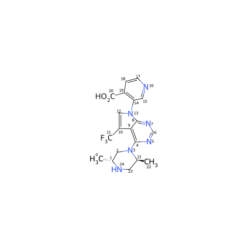 C[C@@H]1CN(c2ncnc3c2c(C(F)(F)F)cn3-c2cnccc2C(=O)O)[C@@H](C)CN1